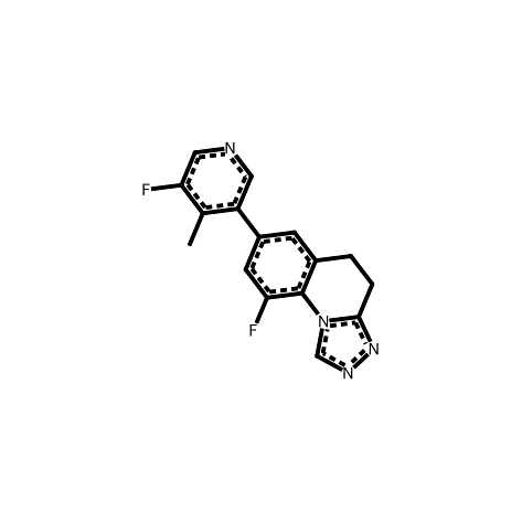 Cc1c(F)cncc1-c1cc(F)c2c(c1)CCc1nncn1-2